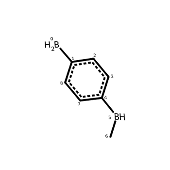 Bc1ccc(BC)cc1